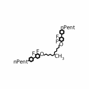 CCCCCc1ccc(-c2ccc(OCCCCCC(C)CCCCCOc3ccc(-c4ccc(CCCCC)cc4)c(F)c3F)c(F)c2F)cc1